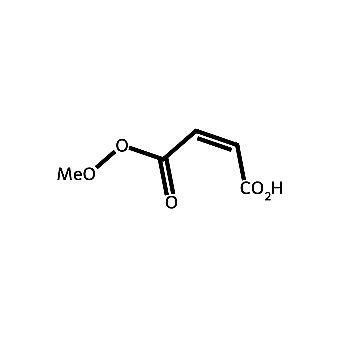 COOC(=O)/C=C\C(=O)O